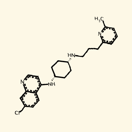 Cc1cccc(CCCN[C@H]2CC[C@@H](Nc3ccnc4cc(Cl)ccc34)CC2)n1